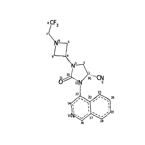 N#C[C@H]1CN(C2CN(CC(F)(F)F)C2)C(=O)N1c1cncc2ccccc12